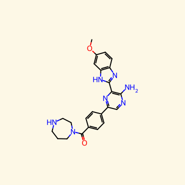 COc1ccc2nc(-c3nc(-c4ccc(C(=O)N5CCCNCC5)cc4)cnc3N)[nH]c2c1